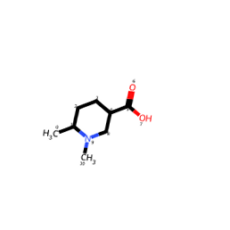 CC1CCC(C(=O)O)CN1C